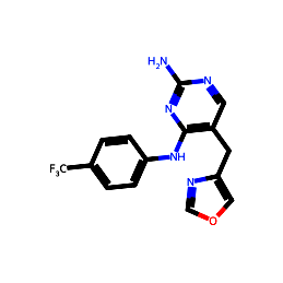 Nc1ncc(Cc2cocn2)c(Nc2ccc(C(F)(F)F)cc2)n1